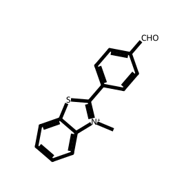 C[n+]1c(-c2ccc(C=O)cc2)sc2ccccc21